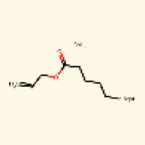 C=CCOC(=O)CCCCCCCCCCC.[SnH4]